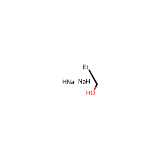 [CH2]CCO.[NaH].[NaH]